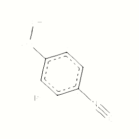 [C-]#[N+]c1ccc(OC)cc1.[Rh]